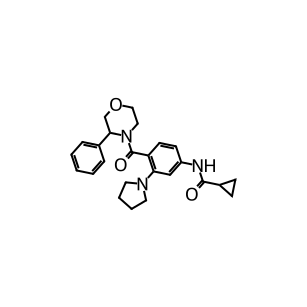 O=C(Nc1ccc(C(=O)N2CCOCC2c2ccccc2)c(N2CCCC2)c1)C1CC1